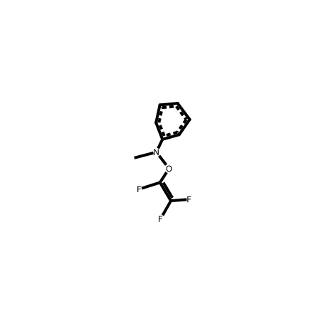 CN(OC(F)=C(F)F)c1ccccc1